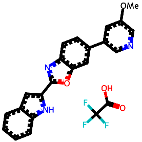 COc1cncc(-c2ccc3nc(-c4cc5ccccc5[nH]4)oc3c2)c1.O=C(O)C(F)(F)F